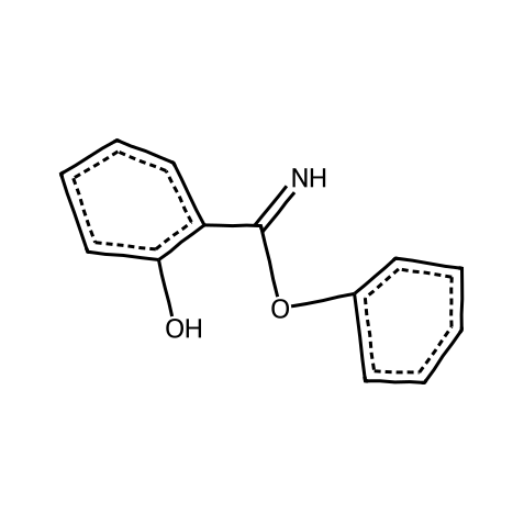 N=C(Oc1ccccc1)c1ccccc1O